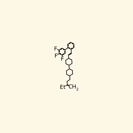 C=C(CC)CCC1CCC(C2CCC(/C=C/c3ccccc3-c3cc(F)c(F)c(F)c3)CC2)CC1